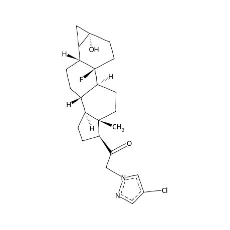 C[C@]12CC[C@H]3[C@@H](CC[C@@H]4C5C[C@@]5(O)CC[C@@]43F)[C@@H]1CC[C@@H]2C(=O)Cn1cc(Cl)cn1